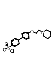 O=S(=O)(Cl)c1ccc(-c2ccc(OCCN3CCCCC3)cc2)cc1